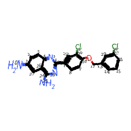 Nc1ccc2nc(-c3ccc(OCc4cccc(Cl)c4)c(Cl)c3)nc(N)c2c1